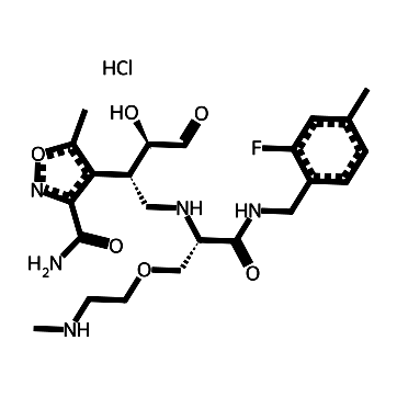 CNCCOC[C@H](NC[C@H](c1c(C(N)=O)noc1C)[C@@H](O)C=O)C(=O)NCc1ccc(C)cc1F.Cl